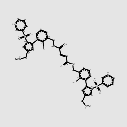 CNCc1cc(-c2cccc(COC(=O)/C=C/C(=O)OCc3cccc(-c4cc(CNC)cn4S(=O)(=O)c4cccnc4)c3F)c2F)n(S(=O)(=O)c2cccnc2)c1